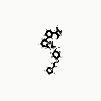 Cc1noc(C)c1-c1cccc(-c2cccc3nc(Nc4ccc(OCCN5CCCC5)cc4)nn23)c1